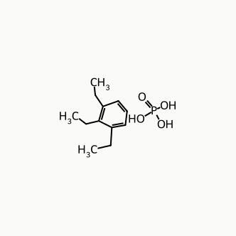 CCc1cccc(CC)c1CC.O=P(O)(O)O